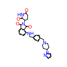 O=C1CCC(N2C(=O)c3cccc(NCc4ccc(CN5CCC(n6cccn6)CC5)cc4)c3C2=O)C(=O)N1